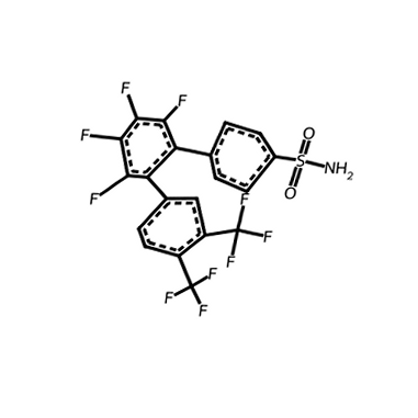 NS(=O)(=O)c1ccc(-c2c(F)c(F)c(F)c(F)c2-c2ccc(C(F)(F)F)c(C(F)(F)F)c2)cc1